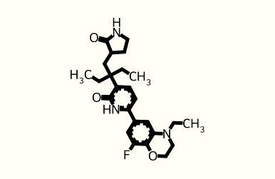 CCN1CCOc2c(F)cc(-c3ccc(C(CC)(CC)CC4CCNC4=O)c(=O)[nH]3)cc21